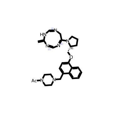 C=C1/N=C\N=C(\N2CCC[C@@H]2COc2ccc(CN3CCN(C(C)=O)CC3)c3ccccc23)C/N=C\N1